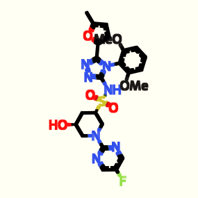 COc1cccc(OC)c1-n1c(NS(=O)(=O)[C@@H]2C[C@H](O)CN(c3ncc(F)cn3)C2)nnc1-c1ccc(C)o1